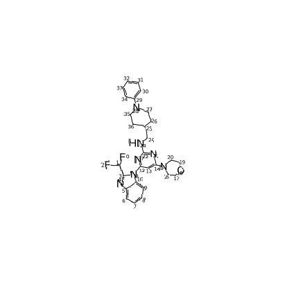 FC(F)c1nc2ccccc2n1-c1cc(N2CCOCC2)nc(NCC2CCN(c3ccccc3)CC2)n1